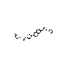 CC1CCC(c2nc(-c3ccc(-c4ccc5cc(-c6c[nH]c([C@@H]7CC[C@H](C)N7)n6)ccc5c4)cc3)c[nH]2)N1